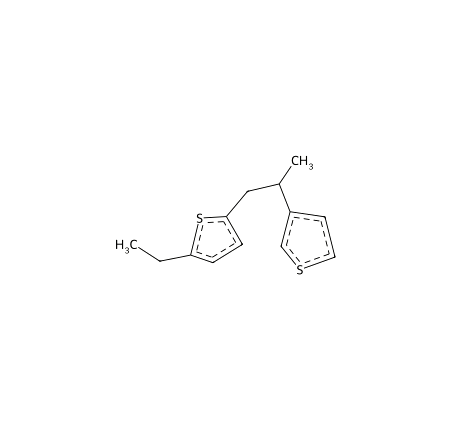 CCc1ccc(CC(C)c2ccsc2)s1